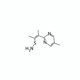 C/C(SN)=C(\C)c1ncc(C)cn1